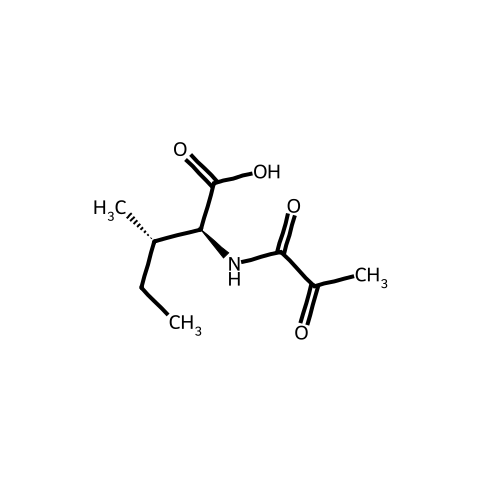 CC[C@H](C)[C@H](NC(=O)C(C)=O)C(=O)O